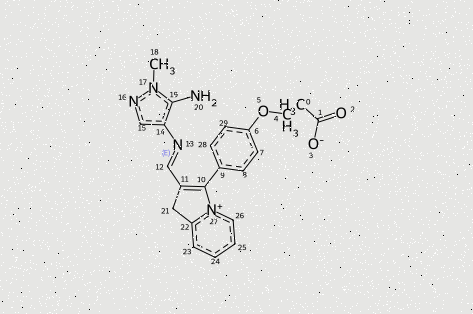 CC(=O)[O-].COc1ccc(C2=C(/C=N/c3cnn(C)c3N)Cc3cccc[n+]32)cc1